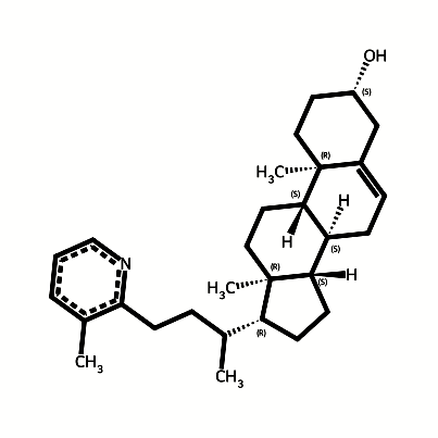 Cc1cccnc1CCC(C)[C@H]1CC[C@H]2[C@@H]3CC=C4C[C@@H](O)CC[C@]4(C)[C@H]3CC[C@]12C